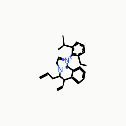 C=CCC1C(C=C)C2=CC=C=C=C2C2=[N+]1CC=[N+]2c1c(CC)cccc1C(C)C